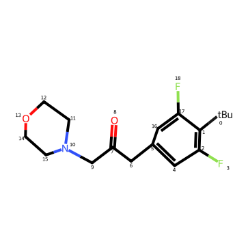 CC(C)(C)c1c(F)cc(CC(=O)CN2CCOCC2)cc1F